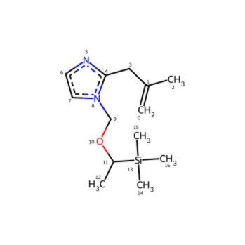 C=C(C)Cc1nccn1COC(C)[Si](C)(C)C